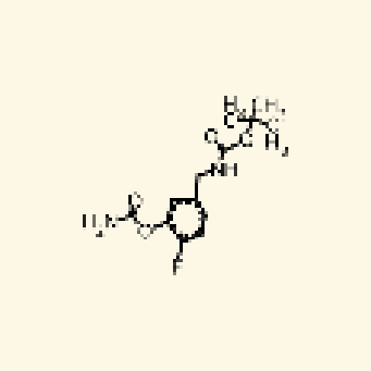 CC(C)(C)OC(=O)NCc1ccc(F)c(OC(N)=O)c1